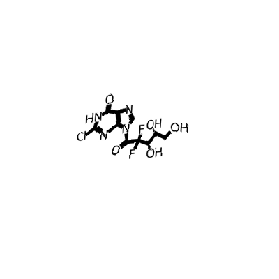 O=C(n1cnc2c(=O)[nH]c(Cl)nc21)C(F)(F)[C@H](O)[C@H](O)CO